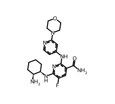 NC(=O)c1cc(F)c(N[C@@H]2CCCC[C@@H]2N)nc1Nc1ccnc(N2CCOCC2)c1